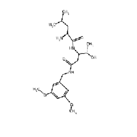 COc1cc(CNC(=O)CC(NC(=O)[C@@H](N)CC(C)C)[C@H](C)O)cc(OC)c1